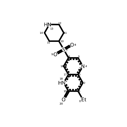 CCc1cc2ncc(S(=O)(=O)C3CCNCC3)cc2[nH]c1=O